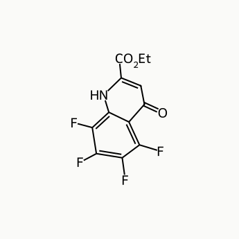 CCOC(=O)c1cc(=O)c2c(F)c(F)c(F)c(F)c2[nH]1